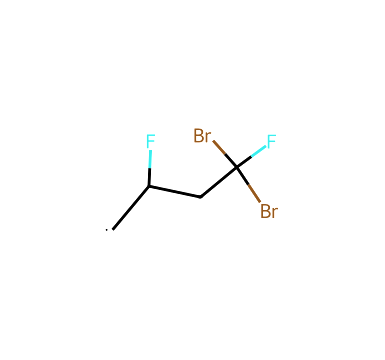 [CH2]C(F)CC(F)(Br)Br